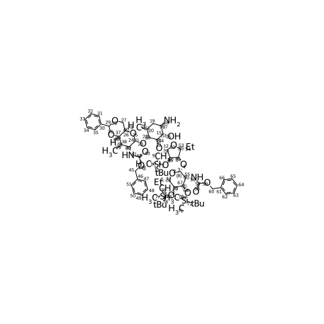 CC[C@@H]1O[C@H](O[C@H]2[C@@H](O[Si](C)(C)C(C)(C)C)[C@H](O[C@@H]3[C@@H](O)[C@H](N)C[C@H](C)[C@H]3O[C@H]3O[C@@H]4COC(c5ccccc5)O[C@H]4[C@H](C)[C@H]3NC(=O)OCc3ccccc3)O[C@@H]2CC)[C@H](NC(=O)OCc2ccccc2)[C@@H](O[Si](C)(C)C(C)(C)C)[C@@H]1O[Si](C)(C)C(C)(C)C